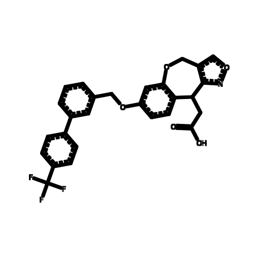 O=C(O)CC1c2ccc(OCc3cccc(-c4ccc(C(F)(F)F)cc4)c3)cc2OCc2conc21